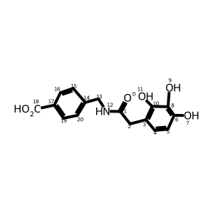 O=C(Cc1ccc(O)c(O)c1O)NCc1ccc(C(=O)O)cc1